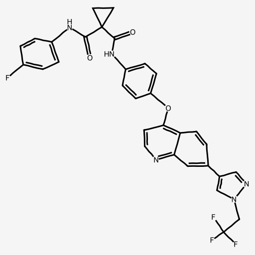 O=C(Nc1ccc(F)cc1)C1(C(=O)Nc2ccc(Oc3ccnc4cc(-c5cnn(CC(F)(F)F)c5)ccc34)cc2)CC1